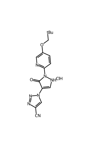 CC(C)(C)COc1ccc(-n2[nH]cc(-n3cc(C#N)nn3)c2=O)nc1.Cl